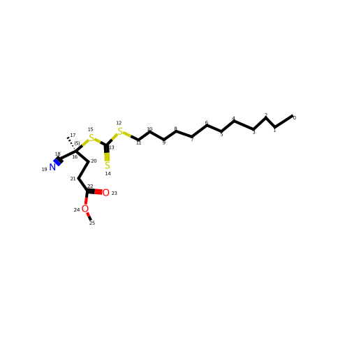 CCCCCCCCCCCCSC(=S)S[C@](C)(C#N)CCC(=O)OC